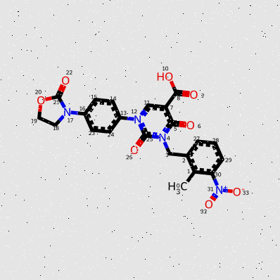 Cc1c(Cn2c(=O)c(C(=O)O)cn(-c3ccc(N4CCOC4=O)cc3)c2=O)cccc1[N+](=O)[O-]